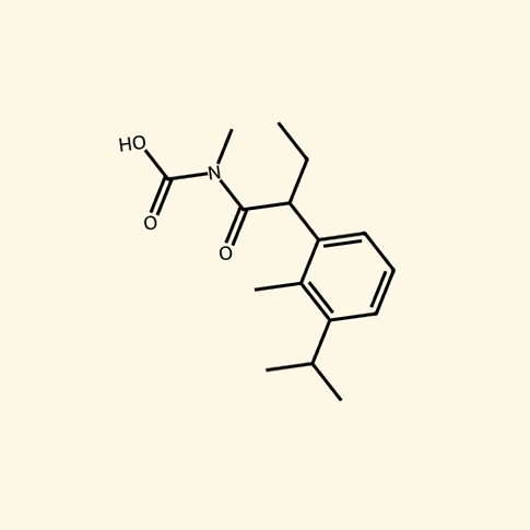 CCC(C(=O)N(C)C(=O)O)c1cccc(C(C)C)c1C